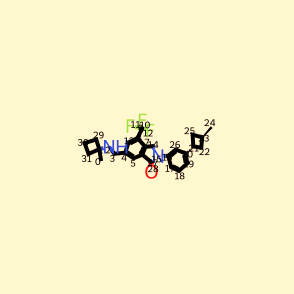 CC1(NCc2cc3c(c(C(F)(F)F)c2)CN(c2cccc([C@H]4C[C@H](C)C4)c2)C3=O)CCC1